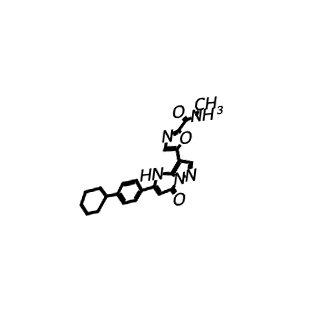 CNC(=O)c1ncc(-c2cnn3c(=O)cc(-c4ccc(C5CCCCC5)cc4)[nH]c23)o1